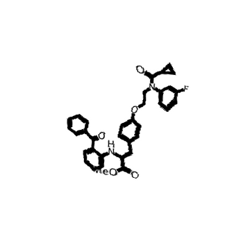 COC(=O)C(Cc1ccc(OCCN(C(=O)C2CC2)c2cccc(F)c2)cc1)Nc1ccccc1C(=O)c1ccccc1